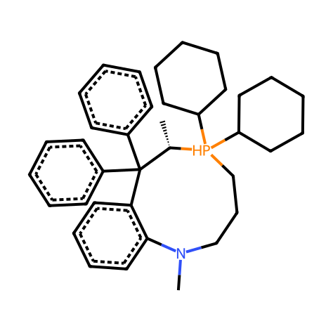 C[C@H]1C(c2ccccc2)(c2ccccc2)c2ccccc2N(C)CCC[PH]1(C1CCCCC1)C1CCCCC1